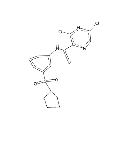 O=C(Nc1cccc(S(=O)(=O)C2CCCC2)c1)c1ncc(Cl)nc1Cl